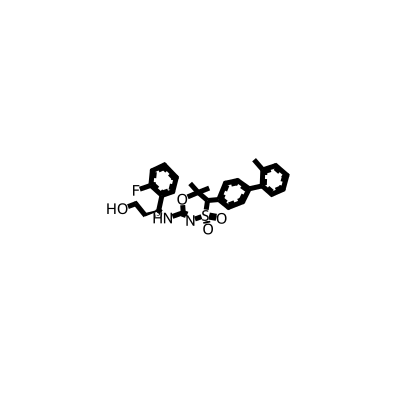 Cc1ccccc1-c1ccc(C2C(C)(C)OC(N[C@@H](CCO)c3ccccc3F)=NS2(=O)=O)cc1